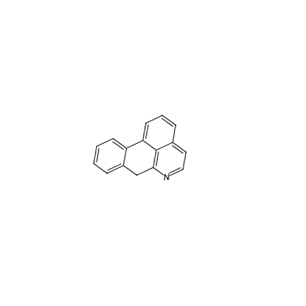 c1ccc2c(c1)Cc1nccc3cccc-2c13